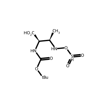 C[C@@H](NO[SH](=O)=O)[C@@H](NC(=O)OC(C)(C)C)C(=O)O